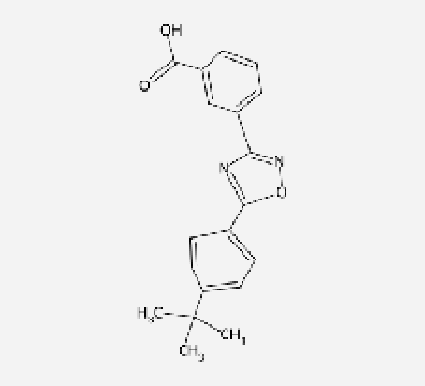 CC(C)(C)c1ccc(-c2nc(-c3cccc(C(=O)O)c3)no2)cc1